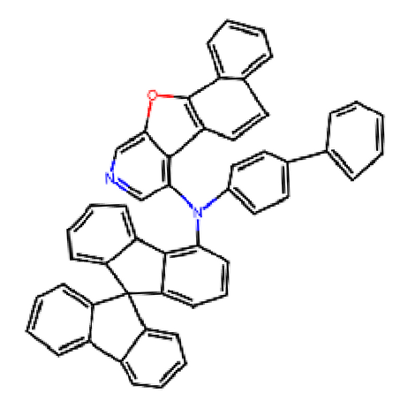 c1ccc(-c2ccc(N(c3cccc4c3-c3ccccc3C43c4ccccc4-c4ccccc43)c3cncc4oc5c6ccccc6ccc5c34)cc2)cc1